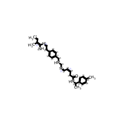 C=C/C(C)=C(N)\N=C/Cc1ccc(CNC/N=C\C=C/CC(=O)NC(C)c2ccc(C)cc2)cc1